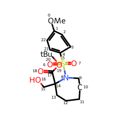 COc1ccc(S(=O)(=O)N2CCCCCC2(CO)C(=O)OC(C)(C)C)cc1